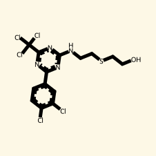 OCCSCCNc1nc(-c2ccc(Cl)c(Cl)c2)nc(C(Cl)(Cl)Cl)n1